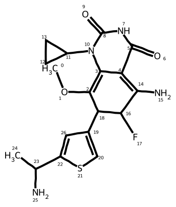 COC1=c2c(c(=O)[nH]c(=O)n2C2CC2)=C(N)C(F)C1c1csc(C(C)N)c1